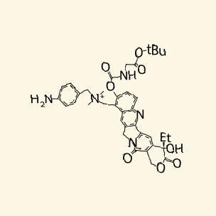 CC[C@@]1(O)C(=O)OCc2c1cc1n(c2=O)Cc2cc3c(C[N+](C)(C)Cc4ccc(N)cc4)c(OC(=O)NCC(=O)OC(C)(C)C)ccc3nc2-1